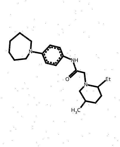 CCC1CCC(C)CN1CC(=O)Nc1ccc(N2CCCCCC2)cc1